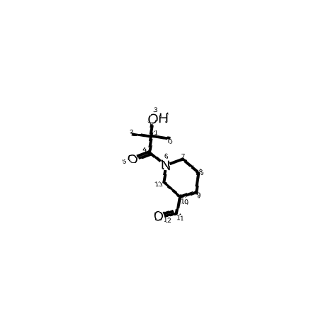 CC(C)(O)C(=O)N1CCCC([C]=O)C1